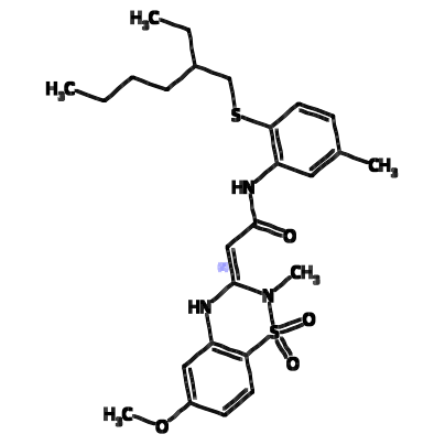 CCCCC(CC)CSc1ccc(C)cc1NC(=O)/C=C1/Nc2cc(OC)ccc2S(=O)(=O)N1C